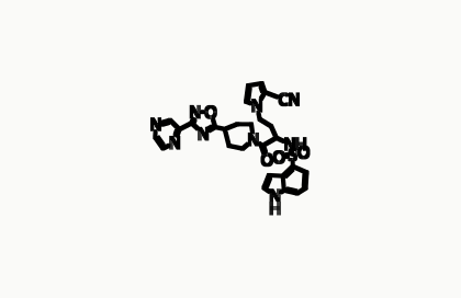 N#Cc1cccn1CCC(NS(=O)(=O)c1cccc2[nH]ccc12)C(=O)N1CCC(c2nc(-c3cnccn3)no2)CC1